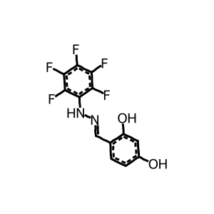 Oc1ccc(C=NNc2c(F)c(F)c(F)c(F)c2F)c(O)c1